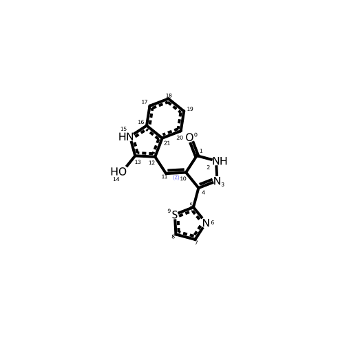 O=C1NN=C(c2nccs2)/C1=C/c1c(O)[nH]c2ccccc12